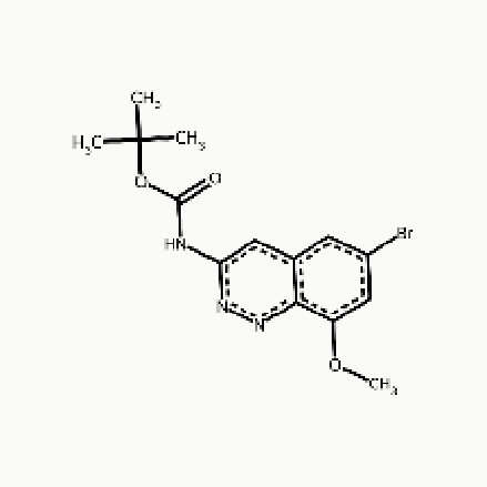 COc1cc(Br)cc2cc(NC(=O)OC(C)(C)C)nnc12